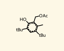 CC(=O)OCc1c(C)c(C(C)(C)C)cc(C(C)(C)C)c1O